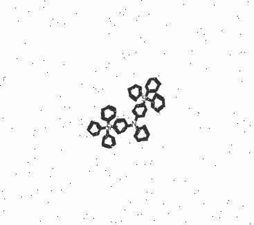 c1ccc(N(c2ccc([Si](c3ccccc3)(c3ccccc3)c3ccccc3)cc2)c2ccc([Si](c3ccccc3)(c3ccccc3)c3ccccc3)cc2)cc1